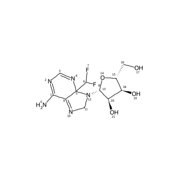 NC1=NC=NC2(C(F)F)C1=NCN2[C@@H]1O[C@H](CO)[C@@H](O)[C@H]1O